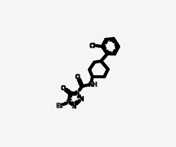 CCn1nnn(C(=O)NC2CCC(c3ccccc3Cl)CC2)c1=O